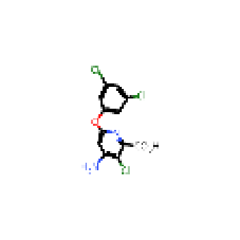 Nc1cc(Oc2cc(Cl)cc(Cl)c2)nc(C(=O)O)c1Cl